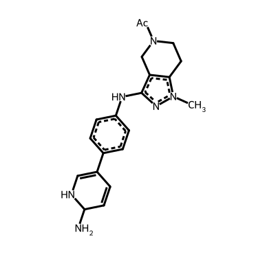 CC(=O)N1CCc2c(c(Nc3ccc(C4=CNC(N)C=C4)cc3)nn2C)C1